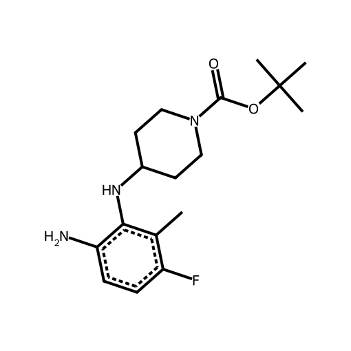 Cc1c(F)ccc(N)c1NC1CCN(C(=O)OC(C)(C)C)CC1